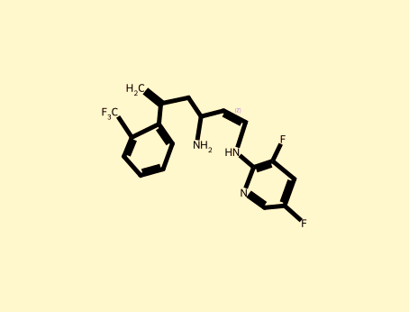 C=C(CC(N)/C=C\Nc1ncc(F)cc1F)c1ccccc1C(F)(F)F